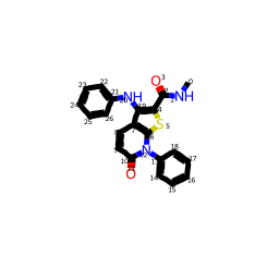 CNC(=O)c1sc2c(ccc(=O)n2-c2ccccc2)c1Nc1ccccc1